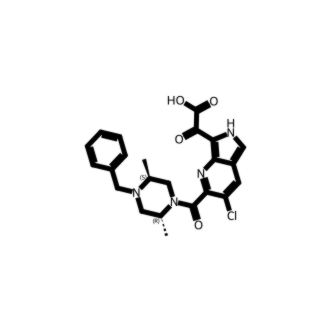 C[C@@H]1CN(Cc2ccccc2)[C@@H](C)CN1C(=O)c1nc2c(C(=O)C(=O)O)[nH]cc2cc1Cl